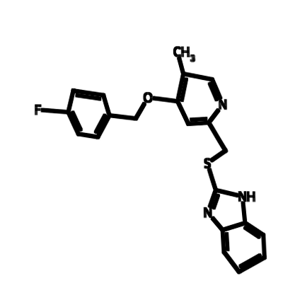 Cc1cnc(CSc2nc3ccccc3[nH]2)cc1OCc1ccc(F)cc1